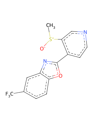 C[S+]([O-])c1cnccc1-c1nc2cc(C(F)(F)F)ccc2o1